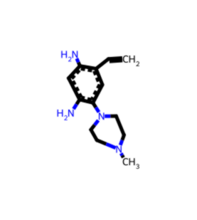 C=Cc1cc(N2CCN(C)CC2)c(N)cc1N